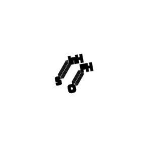 O=P.[S]=[InH]